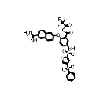 N=C(N)c1ccc2cc(Oc3ccc(NS(=O)(=O)c4cc(S(=O)(=O)c5ccccc5)cs4)cc3C(=O)OC(=O)C(F)(F)F)ccc2c1